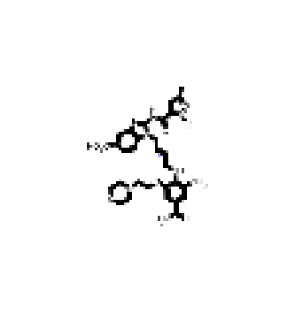 CCn1nc(C)cc1C(=O)Nc1nc2cc(C(=O)O)ccc2n1C/C=C/CNc1c(OCCN2CCOCC2)cc(C(N)=O)cc1[N+](=O)[O-]